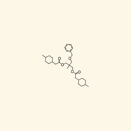 CC1CCC(CC(=O)OCC(C)(COCc2ccccc2)COC(=O)CC2CCC(C)CC2)CC1